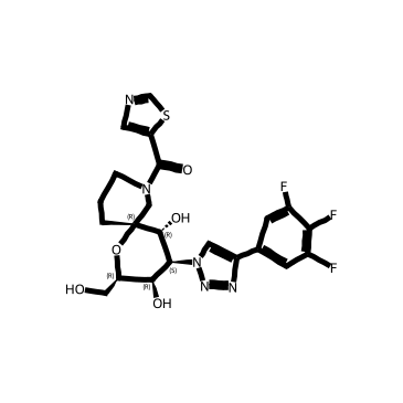 O=C(c1cncs1)N1CCC[C@]2(C1)O[C@H](CO)[C@H](O)[C@H](n1cc(-c3cc(F)c(F)c(F)c3)nn1)[C@H]2O